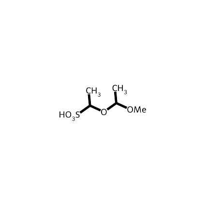 COC(C)OC(C)S(=O)(=O)O